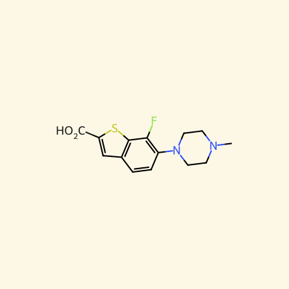 CN1CCN(c2ccc3cc(C(=O)O)sc3c2F)CC1